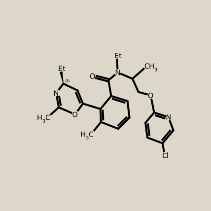 CC[C@H]1C=C(c2c(C)cccc2C(=O)N(CC)C(C)COc2ccc(Cl)cn2)OC(C)=N1